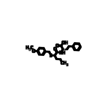 CCCC(SCc1ccc(OC)cc1)C(=O)N[C@@H](CCc1ccccc1)C(=O)O